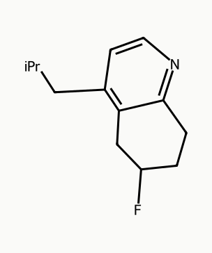 CC(C)Cc1ccnc2c1CC(F)CC2